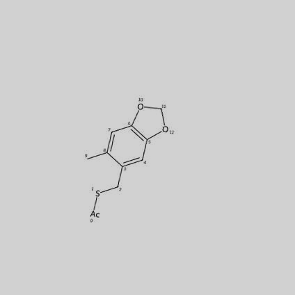 CC(=O)SCc1cc2c(cc1C)OCO2